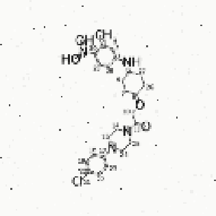 Cc1cc(NC2CCC(OCC(=O)N3CCN(c4ccc(Cl)cc4)CC3)CC2)ccc1N(O)O